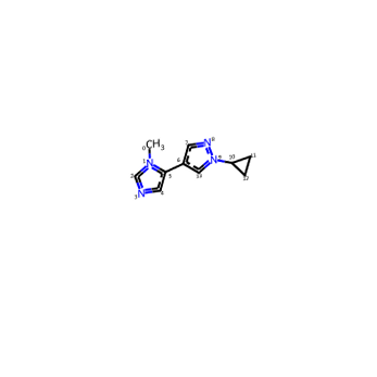 Cn1cncc1-c1cnn(C2CC2)c1